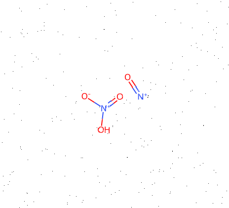 O=[N+]([O-])O.[N+]=O